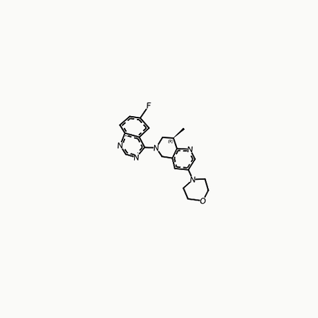 C[C@@H]1CN(c2ncnc3ccc(F)cc23)Cc2cc(N3CCOCC3)cnc21